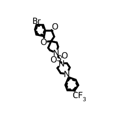 O=C1CC2(CCN(S(=O)(=O)N3CCN(c4ccc(C(F)(F)F)cc4)CC3)CC2)Oc2ccc(Br)cc21